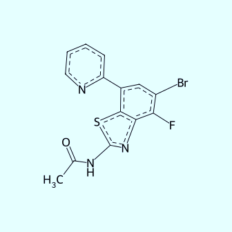 CC(=O)Nc1nc2c(F)c(Br)cc(-c3ccccn3)c2s1